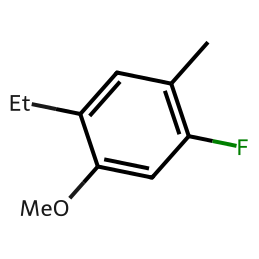 CCc1cc(C)c(F)cc1OC